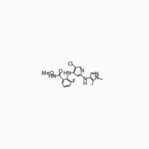 CONC(=O)c1cccc(F)c1Nc1cc(Nc2cnn(C)c2C)ncc1Cl